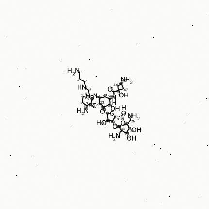 NCCCNC[C@@H]1CC[C@@H](N)[C@@H](O[C@H]2[C@H](O[C@@H]3O[C@H](CO)[C@@H](O[C@H]4O[C@@H](CN)[C@@H](O)[C@H](O)[C@H]4N)[C@H]3O)[C@@H](O)[C@H](NC(=O)C3(O)CC(N)C3)C[C@@H]2N)O1